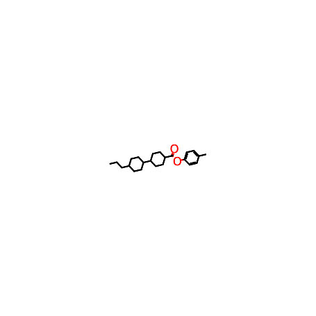 CCCC1CCC(C2CCC(C(=O)Oc3ccc(C)cc3)CC2)CC1